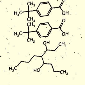 CC(C)(C)c1ccc(C(=O)O)cc1.CC(C)(C)c1ccc(C(=O)O)cc1.CCCCC(C(O)CC)C(O)CCC